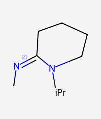 C/N=C1/CCCCN1C(C)C